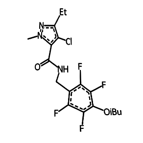 CCc1nn(C)c(C(=O)NCc2c(F)c(F)c(OCC(C)C)c(F)c2F)c1Cl